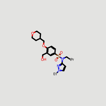 CCn1ccc(N(CC(C)C)S(=O)(=O)c2ccc(OCC3CCOCC3)c(CO)c2)n1